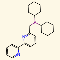 c1ccc(-c2cccc(CP(C3CCCCC3)C3CCCCC3)n2)nc1